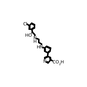 O=C(O)c1cncc(-c2cccc(NCCCNC[C@@H](O)c3cccc(Cl)c3)c2)c1